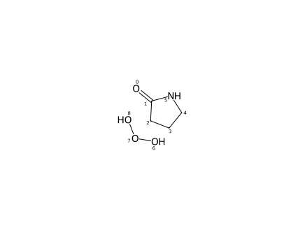 O=C1CCCN1.OOO